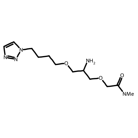 CNC(=O)COCC(N)COCCCCn1ccnn1